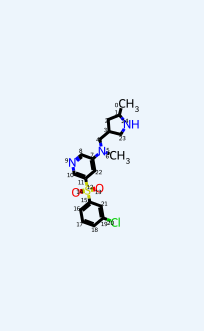 CC1CC(CN(C)c2cncc(S(=O)(=O)c3cccc(Cl)c3)c2)CN1